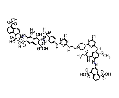 COc1cc(/N=N/c2cc(S(=O)(=O)O)c3cccc(S(=O)(=O)O)c3c2)c(NC(C)=O)cc1Nc1nc(Cl)nc(N2CCN(CCNc3nc(Cl)nc(Nc4ccc(S(=O)(=O)O)c(/N=N/c5c(S(=O)(=O)O)cc6cc(S(=O)(=O)O)c(/N=N/c7ccc8c(S(=O)(=O)O)cccc8c7S(=O)(=O)O)c(N)c6c5O)c4)n3)CC2)n1